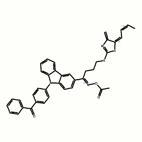 C=c1nc(SCCC/C(=N\OC(C)=O)c2ccc3c(c2)c2ccccc2n3-c2ccc(C(=O)c3ccccc3)cc2)s/c1=C/C=C\C